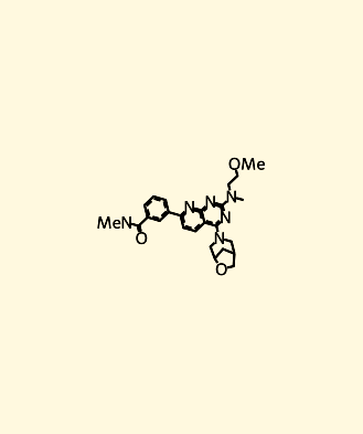 CNC(=O)c1cccc(-c2ccc3c(N4CC5COC(C5)C4)nc(N(C)CCOC)nc3n2)c1